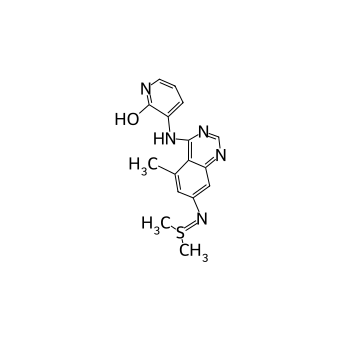 Cc1cc(N=S(C)C)cc2ncnc(Nc3cccnc3O)c12